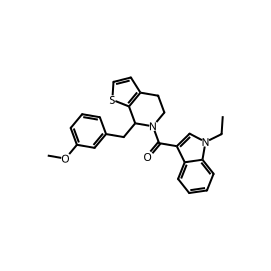 CCn1cc(C(=O)N2CCc3ccsc3C2Cc2cccc(OC)c2)c2ccccc21